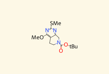 COc1nc(SC)nc2c1CCN(C(=O)OC(C)(C)C)C2